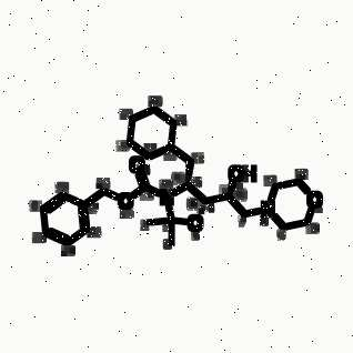 CC1(C)O[C@@H]([C@@H](O)CN2CCOCC2)[C@H](CC2CCCCC2)N1C(=O)OCc1ccccc1